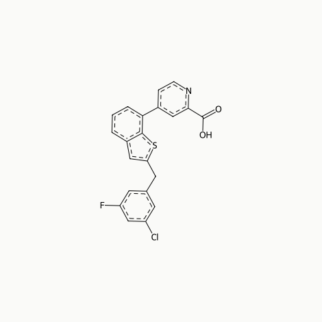 O=C(O)c1cc(-c2cccc3cc(Cc4cc(F)cc(Cl)c4)sc23)ccn1